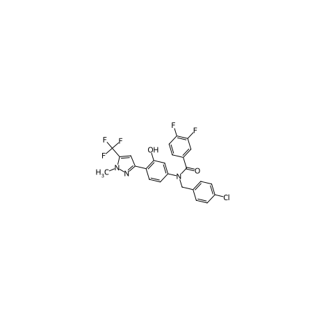 Cn1nc(-c2ccc(N(Cc3ccc(Cl)cc3)C(=O)c3ccc(F)c(F)c3)cc2O)cc1C(F)(F)F